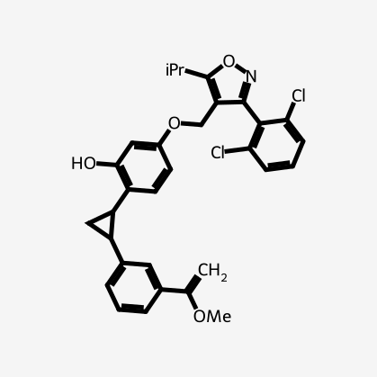 C=C(OC)c1cccc(C2CC2c2ccc(OCc3c(-c4c(Cl)cccc4Cl)noc3C(C)C)cc2O)c1